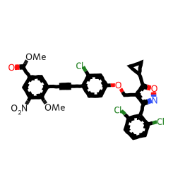 COC(=O)c1cc(C#Cc2ccc(OCc3c(-c4c(Cl)cccc4Cl)noc3C3CC3)cc2Cl)c(OC)c([N+](=O)[O-])c1